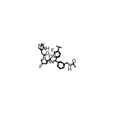 CC(=O)NCc1cccc(C(NC(=O)C2CC(F)CN2C(=O)Cc2cnn[nH]2)c2ccc(C(C)C)c(F)n2)c1